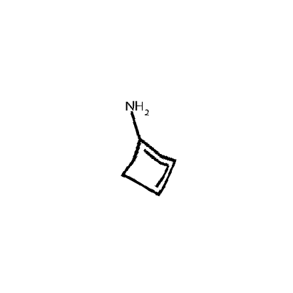 NC1=C=CC1